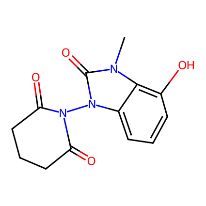 Cn1c(=O)n(N2C(=O)CCCC2=O)c2cccc(O)c21